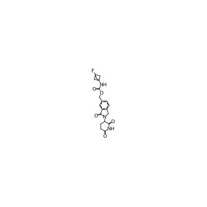 O=C1CCC(N2Cc3ccc(COC(=O)NC45CC(F)(C4)C5)cc3C2=O)C(=O)N1